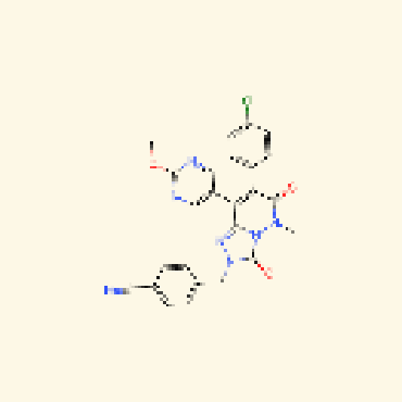 COc1ncc(-c2c(-c3ccc(Cl)cc3)c(=O)n(C)n3c(=O)n(Cc4ccc(C#N)cc4)nc23)cn1